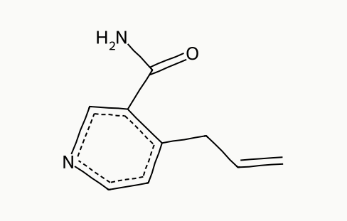 C=CCc1ccncc1C(N)=O